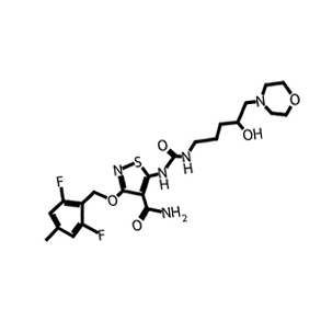 Cc1cc(F)c(COc2nsc(NC(=O)NCCCC(O)CN3CCOCC3)c2C(N)=O)c(F)c1